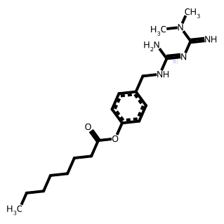 CCCCCCCC(=O)Oc1ccc(CN/C(N)=N/C(=N)N(C)C)cc1